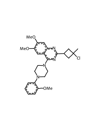 COc1cc2nc(C3CC(C)(Cl)C3)nc(N3CCN(c4ccccc4OC)CC3)c2cc1OC